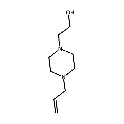 C=CCN1CCN(CCO)CC1